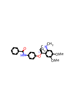 C=Nc1cc(OC)c(OC)cc1/C(=C\C)Oc1ccc(NC(=O)c2ccccc2)cc1